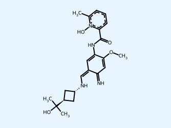 COC1=CC(=N)/C(=C\N[C@H]2C[C@H](C(C)(C)O)C2)C=C1NC(=O)c1cccc(C)[n+]1O